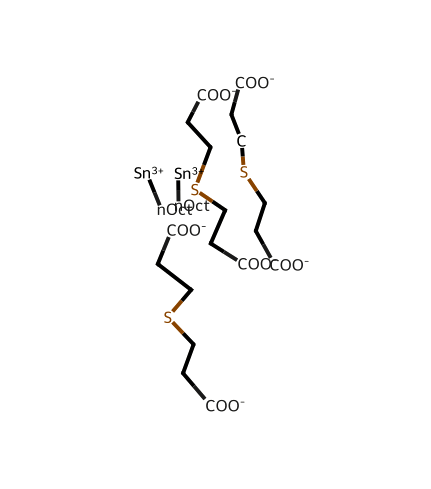 CCCCCCC[CH2][Sn+3].CCCCCCC[CH2][Sn+3].O=C([O-])CCSCCC(=O)[O-].O=C([O-])CCSCCC(=O)[O-].O=C([O-])CCSCCC(=O)[O-]